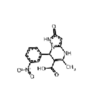 CC1=C(C(=O)O)C(c2cccc([N+](=O)[O-])c2)n2[nH]c(=O)cc2N1